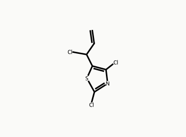 C=CC(Cl)c1sc(Cl)nc1Cl